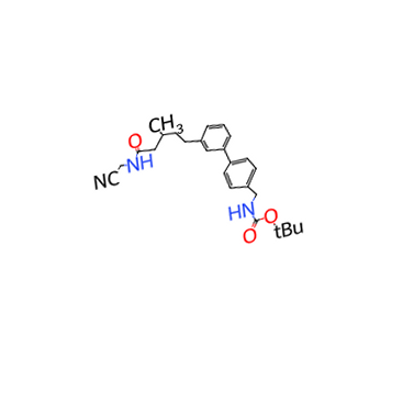 CC(CCc1cccc(-c2ccc(CNC(=O)OC(C)(C)C)cc2)c1)CC(=O)NCC#N